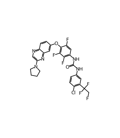 O=C(Nc1ccc(Cl)c(C(F)(F)CF)c1)Nc1cc(F)c(Oc2ccc3ncc(N4CCCC4)nc3c2)c(F)c1F